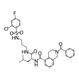 CC(C)C[C@H](NC(=O)c1cccc2c1CCN(C(=O)c1ccccc1)C2)C(=O)NCCCNS(=O)(=O)c1ccc(F)cc1Cl